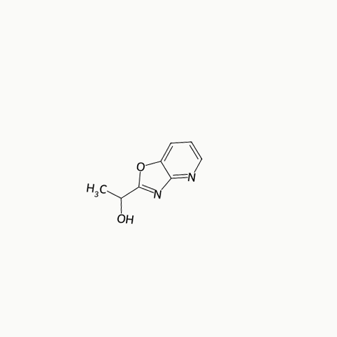 CC(O)c1nc2ncccc2o1